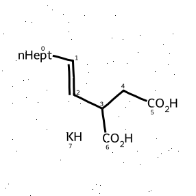 CCCCCCCC=CC(CC(=O)O)C(=O)O.[KH]